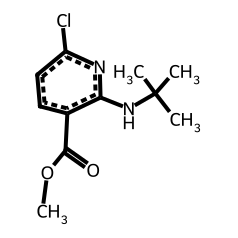 COC(=O)c1ccc(Cl)nc1NC(C)(C)C